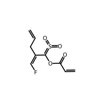 C=CCC(=CF)C(OC(=O)C=C)=S(=O)=O